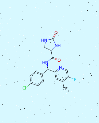 O=C1NCC(C(=O)N[C@H](c2ccc(Cl)cc2)c2cc(C(F)(F)F)c(F)cn2)N1